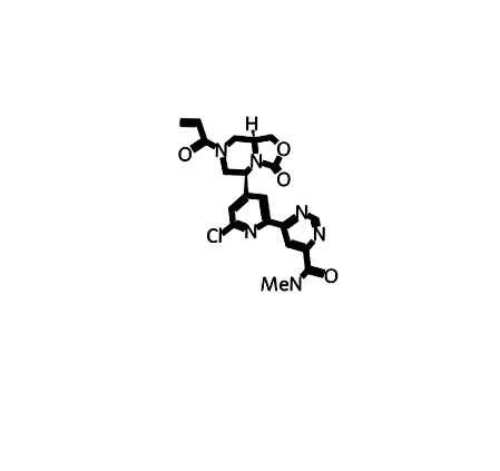 C=CC(=O)N1C[C@H]2COC(=O)N2[C@@H](c2cc(Cl)nc(-c3cc(C(=O)NC)ncn3)c2)C1